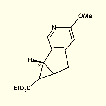 CCOC(=O)C1C2Cc3cc(OC)ncc3[C@H]21